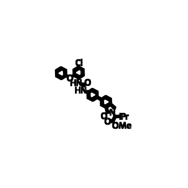 COC(=O)C(C(C)C)N1Cc2ccc(-c3ccc(NC(=O)Nc4ccc(Cl)cc4Oc4ccccc4)cc3)cc2C1=O